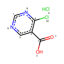 Cl.O=C(O)c1cncnc1Cl